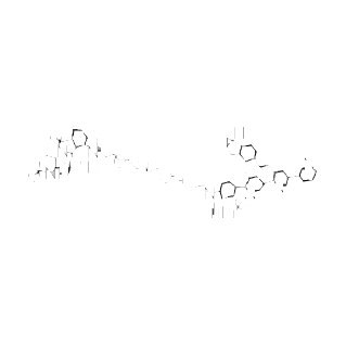 CCCOc1cc(NCCOCCOCCOCCOCCC(=O)Nc2cccc3c2C(=O)N(C2CCC(=O)NC2=O)C3=O)ccc1-c1ncc(-c2ncc(-c3cccnc3)cc2/C=C/c2ccc3c(c2)CC2C[C@H]32)cc1C